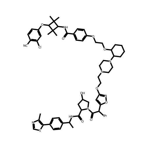 Cc1ncsc1-c1ccc(C(C)NC(=O)C2CC(O)CN2C(=O)C(c2cc(OCCN3CCN(C4CCCCC4OCCOc4ccc(C(=O)NC5C(C)(C)C(Oc6ccc(C#N)c(Cl)c6)C5(C)C)cc4)CC3)no2)C(C)C)cc1